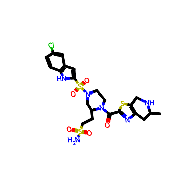 CC1Cc2nc(C(=O)N3CCN(S(=O)(=O)c4cc5cc(Cl)ccc5[nH]4)CC3CCS(N)(=O)=O)sc2CN1